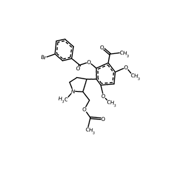 COc1cc(OC)c(C2CCN(C)C2COC(C)=O)c(OC(=O)c2cccc(Br)c2)c1C(C)=O